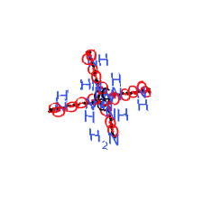 CC(C)(C)OC(=O)NCCOCCOCCNC(=O)CN1CCN(CC(=O)NCCOCCOCCN)CCN(CC(=O)NCCOCCOCCNC(=O)OC(C)(C)C)CCN(CC(=O)NCCOCCOCCNC(=O)OC(C)(C)C)CC1